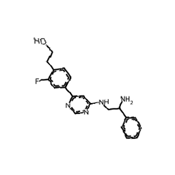 NC(CNc1cc(-c2ccc(CCO)c(F)c2)ncn1)c1ccccc1